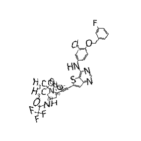 CC(C)(C)[N+]1(C(=O)[O-])C[C@@H](NC(=O)C(F)(F)F)C[C@@H]1C#Cc1cc2ncnc(Nc3ccc(OCc4cccc(F)c4)c(Cl)c3)c2s1